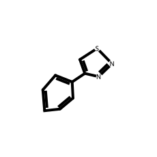 c1ccc(-c2csnn2)cc1